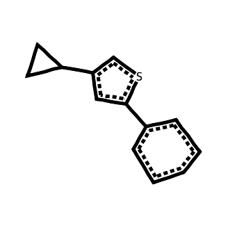 c1ccc(-c2cc(C3CC3)cs2)cc1